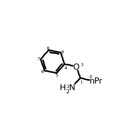 CCCC(N)Oc1ccccc1